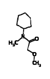 COCC(=O)N(C)C1CCCCC1